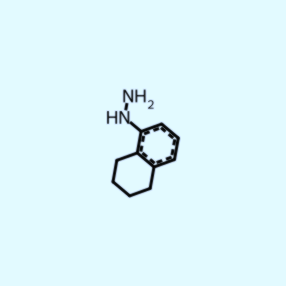 NNc1cccc2c1CCCC2